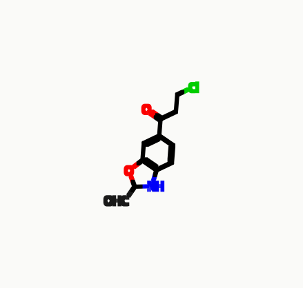 O=CC1Nc2ccc(C(=O)CCCl)cc2O1